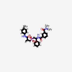 CCCN(CCC)C(=O)c1cccc(C(=O)NC(CP(=O)(O)CC(C)C(=O)Nc2ccc(C(C)(C)C)cc2)c2ccccc2)c1